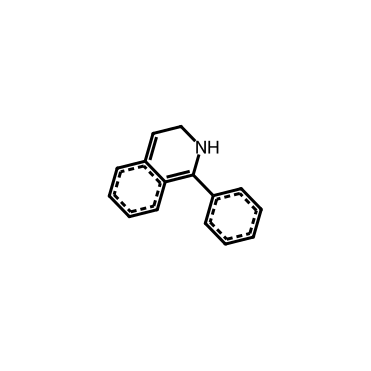 C1=c2ccccc2=C(c2ccccc2)NC1